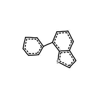 [c]1cc2cccc(-c3ccccc3)c2s1